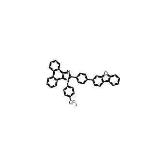 FC(F)(F)c1ccc(-n2c(-c3ccc(-c4ccc5c(c4)oc4ccccc45)cc3)nc3c4ccccc4c4ccccc4c32)cc1